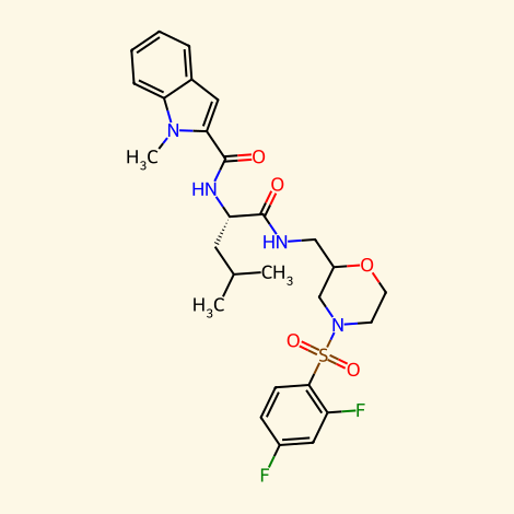 CC(C)C[C@H](NC(=O)c1cc2ccccc2n1C)C(=O)NCC1CN(S(=O)(=O)c2ccc(F)cc2F)CCO1